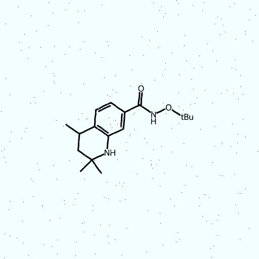 CC1CC(C)(C)Nc2cc(C(=O)NOC(C)(C)C)ccc21